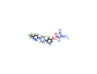 N=C(N)NC(=O)OCc1ccnc(N2CCN(c3ccc(C(F)(F)F)nn3)CC2)c1F